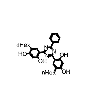 CCCCCCc1cc(-c2nc(-c3ccccc3)nc(-c3cc(CCCCCC)c(O)cc3O)n2)c(O)cc1O